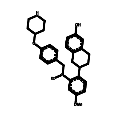 CCN(Cc1ccc(OC2CCNCC2)cc1)c1cc(OC)ccc1C1CCc2cc(O)ccc2C1